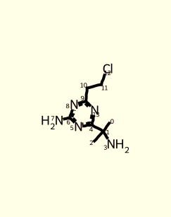 CC(C)(N)c1nc(N)nc(CCCl)n1